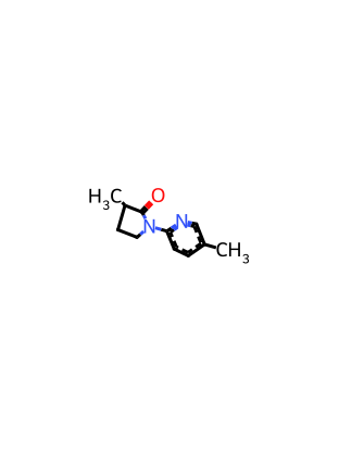 Cc1ccc(N2CCC(C)C2=O)nc1